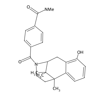 CNC(=O)c1ccc(C(=O)N2CCC3(C)c4cccc(O)c4CC2C3(C)C)cc1